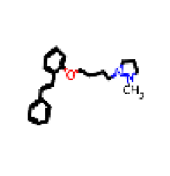 CN1CCCN1CCCCOc1ccccc1C=Cc1ccccc1